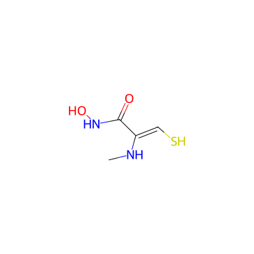 CN/C(=C\S)C(=O)NO